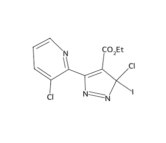 CCOC(=O)C1=C(c2ncccc2Cl)N=NC1(Cl)I